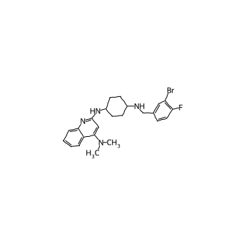 CN(C)c1cc(NC2CCC(NCc3ccc(F)c(Br)c3)CC2)nc2ccccc12